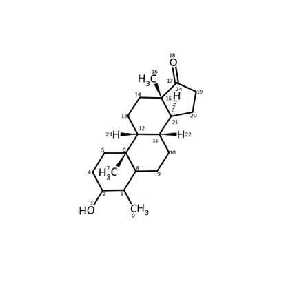 CC1C(O)CC[C@@]2(C)C1CC[C@@H]1[C@H]2CC[C@]2(C)C(=O)CC[C@@H]12